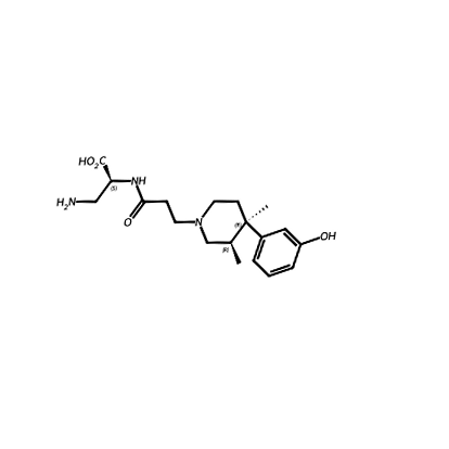 C[C@H]1CN(CCC(=O)N[C@@H](CN)C(=O)O)CC[C@@]1(C)c1cccc(O)c1